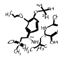 CC(=O)N[C@@H](CC(C)C)C(=O)O.[2H]C([2H])([2H])Oc1ccc([C@H](N)CS(C)(=O)=O)cc1OCC